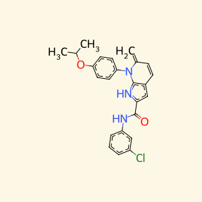 C=C1C=Cc2cc(C(=O)Nc3cccc(Cl)c3)[nH]c2N1c1ccc(OC(C)C)cc1